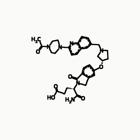 CC(=O)N1CCN(c2ccc3cc(CN4CC[C@H](Oc5ccc6c(c5)CN([C@@H](CCC(=O)O)C(N)=O)C6=O)C4)ccc3n2)CC1